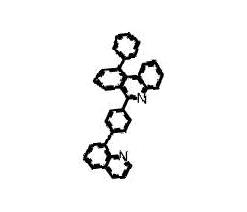 c1ccc(-c2cccc3c(-c4ccc(-c5cccc6cccnc56)cc4)nc4ccccc4c23)cc1